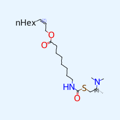 CCCCCC/C=C\COC(=O)CCCCCCCNC(=O)SC[C@@H](C)N(C)C